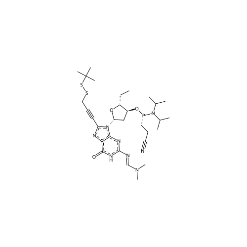 CC[C@H]1O[C@@H](n2c(C#CCSSC(C)(C)C)nc3c(=O)[nH]c(/N=C/N(C)C)nc32)C[C@@H]1O[P@@](CCC#N)N(C(C)C)C(C)C